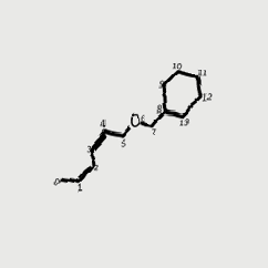 C/C=C\C=C/COCC1CCCCC1